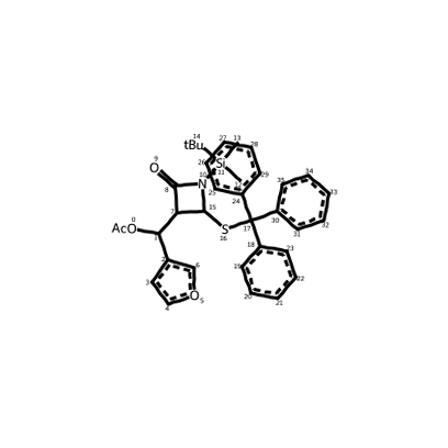 CC(=O)OC(c1ccoc1)C1C(=O)N([Si](C)(C)C(C)(C)C)C1SC(c1ccccc1)(c1ccccc1)c1ccccc1